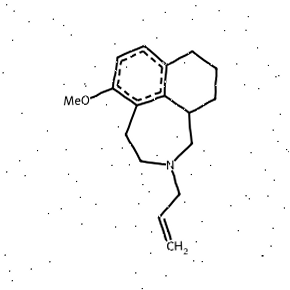 C=CCN1CCc2c(OC)ccc3c2C(CCC3)C1